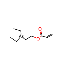 C=CC(=O)OCC[As](CC)CC